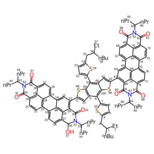 CCCCC(CC)Cc1ccc(-c2c3cc(-c4cc5c6ccc7c8c(ccc(c9ccc%10c(c4C(=O)N(C(CCC)CCC)C%10O)c95)c86)C(=O)N(C(CCC)CCC)C7=O)sc3c(-c3ccc(CC(CC)CCCC)s3)c3cc(-c4cc5c6ccc7c8c(ccc(c9ccc%10c(c4C(=O)N(C(CCC)CCC)C%10=O)c95)c86)C(=O)N(C(CCC)CCC)C7=O)sc23)s1